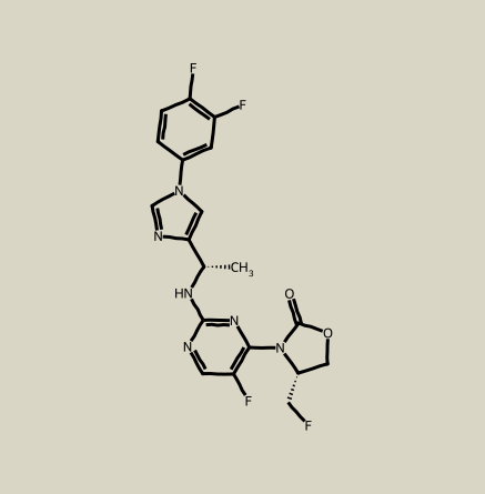 C[C@H](Nc1ncc(F)c(N2C(=O)OC[C@@H]2CF)n1)c1cn(-c2ccc(F)c(F)c2)cn1